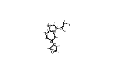 C/N=C(\C)c1c[nH]c2ncc(-c3ccoc3)cc12